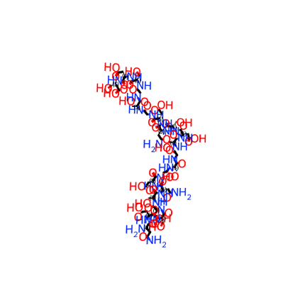 NC(=O)C[C@H](NC(=O)[C@H](CO)NC(=O)[C@H](CC(=O)O)NC(=O)[C@H](CO)NC(=O)CNC(=O)[C@H](CO)NC(=O)CNC(=O)[C@H](CC(=O)O)NC(=O)[C@H](CC(N)=O)NC(=O)[C@H](CO)NC(=O)[C@H](CC(=O)O)NC(=O)[C@H](CO)NC(=O)[C@H](CC(=O)O)NC(=O)[C@@H](N)CC(N)=O)C(=O)N[C@@H](CC(=O)O)C(=O)NCC(=O)N[C@@H](CO)C(=O)NCC(=O)N[C@@H](CO)C(=O)N[C@@H](CC(=O)O)C(=O)N[C@@H](CO)C(=O)O